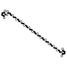 O=C(CCOCCOCCOCCOCCOCCOCCOCCOCCOCCOCCOCCOCCN1C(=O)C=CC1=O)ON1C(=O)CCC1=O